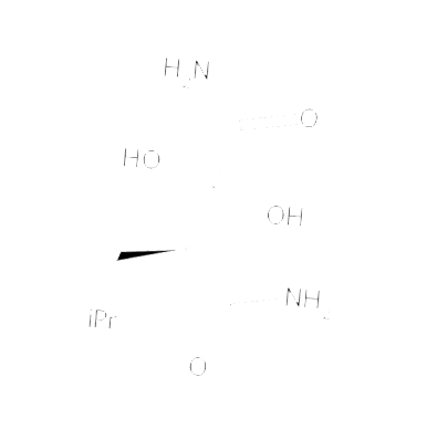 CC(C)C[C@H](C(N)=O)C(O)(O)C(N)=O